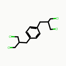 ClCC(CCl)Cc1ccc(CC(CCl)CCl)cc1